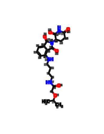 CC(C)OCC(=O)NCCCCNc1cccc2c1C(=O)N(C1CCC(=O)NC1=O)C2=O